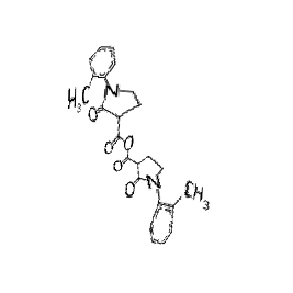 Cc1ccccc1N1CCC(C(=O)OC(=O)C2CCN(c3ccccc3C)C2=O)C1=O